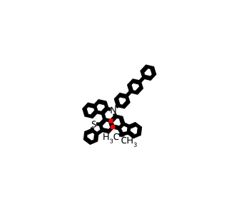 CC1(C)c2ccccc2-c2cc(N(c3ccc(-c4ccc(-c5ccccc5)cc4)cc3)c3ccc4ccccc4c3-c3cccc4c3sc3ccccc34)ccc21